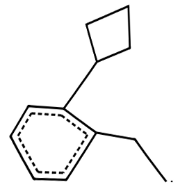 [CH2]Cc1ccccc1C1CCC1